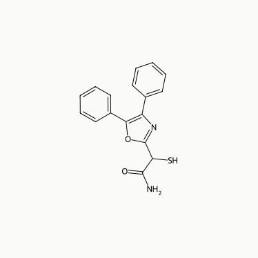 NC(=O)C(S)c1nc(-c2ccccc2)c(-c2ccccc2)o1